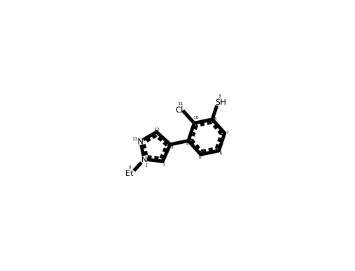 CCn1cc(-c2cccc(S)c2Cl)cn1